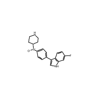 [O-][S+](c1ccc(-c2c[nH]c3cc(F)ccc23)cc1)N1CCNCC1